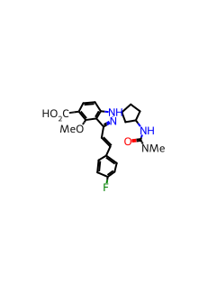 CNC(=O)NC1CCCC1.COc1c(C(=O)O)ccc2[nH]nc(/C=C/c3ccc(F)cc3)c12